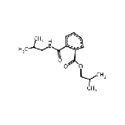 CC(C)CBC(=O)c1ccccc1C(=O)OCC(C)C